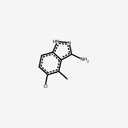 Cc1c(Cl)ccc2[nH]nc(N)c12